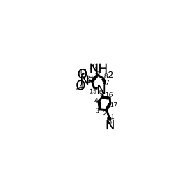 N#Cc1ccc(N2C=CC(N)=C([N+](=O)[O-])C2)cc1